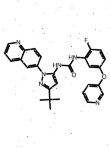 CC(C)(C)c1cc(NC(=O)Nc2cc(Oc3cccnc3)ccc2F)n(-c2ccc3ncccc3c2)n1